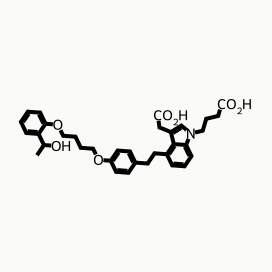 CC(O)c1ccccc1OCCCCOc1ccc(CCc2cccc3c2c(CC(=O)O)cn3CCCC(=O)O)cc1